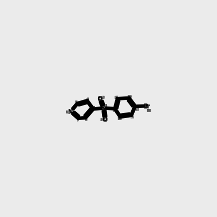 O=S(=O)(c1ccncc1)c1ccc(Br)cc1